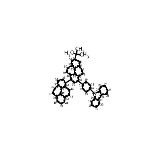 CC(C)(C)c1cc2ccc3c(-c4ccc(-n5c6ccccc6c6ccccc65)cc4)cc(-c4ccc5ccc6cccc7ccc4c5c67)c4ccc(c1)c2c34